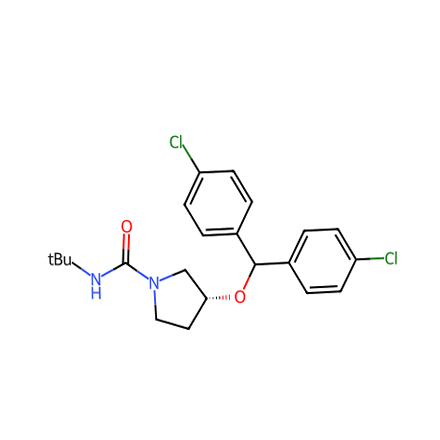 CC(C)(C)NC(=O)N1CC[C@@H](OC(c2ccc(Cl)cc2)c2ccc(Cl)cc2)C1